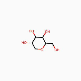 OC[C@H]1OC[C@H](O)C(O)C1O